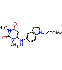 COCCn1ccc2cc(Nc3cc(=O)n(C)c(=O)n3C)ccc21